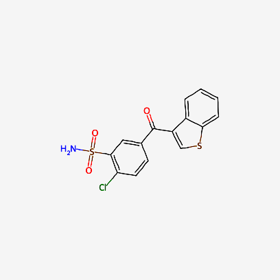 NS(=O)(=O)c1cc(C(=O)c2csc3ccccc23)ccc1Cl